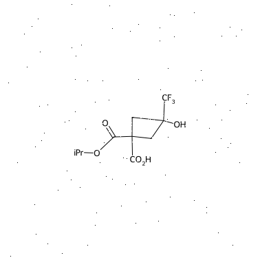 CC(C)OC(=O)C1(C(=O)O)CC(O)(C(F)(F)F)C1